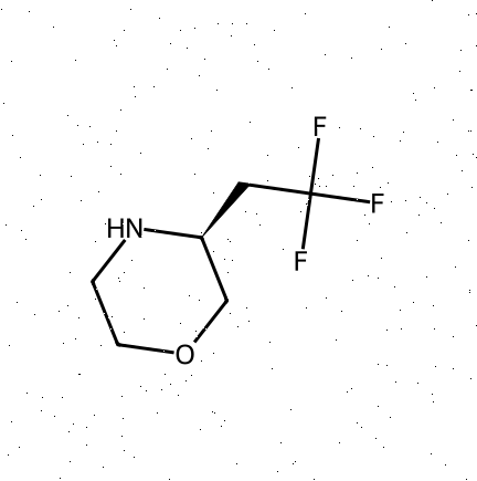 FC(F)(F)C[C@H]1COCCN1